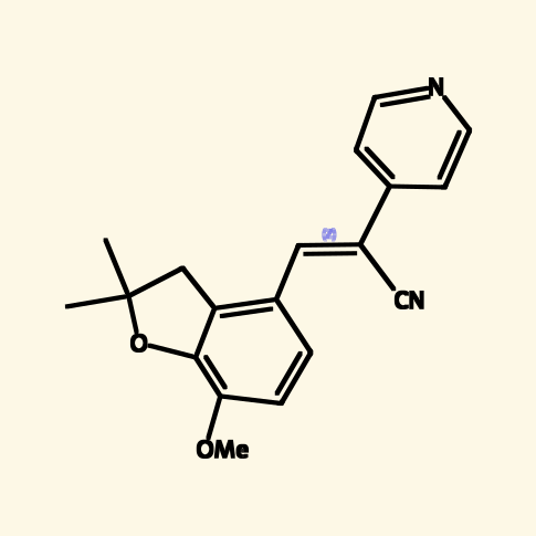 COc1ccc(/C=C(\C#N)c2ccncc2)c2c1OC(C)(C)C2